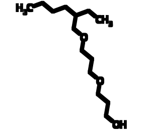 CCCCC(CC)COCCCOCCCO